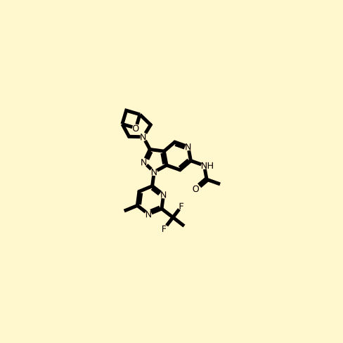 CC(=O)Nc1cc2c(cn1)c(N1CC3CC(C1)O3)nn2-c1cc(C)nc(C(C)(F)F)n1